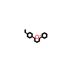 C=Cc1ccc(-c2cccc(-c3ccccc3)[o+]2)cc1